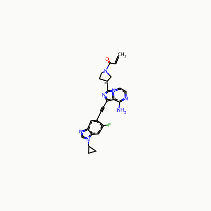 C=CC(=O)N1CC[C@H](c2nc(C#Cc3cc4ncn(C5CC5)c4cc3F)c3c(N)nccn23)C1